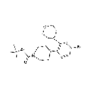 CC(C)(C)OC(=O)N1CCN(c2ncc(Br)cc2N2CCOCC2)CC1